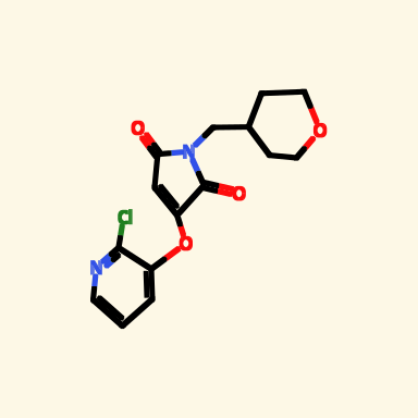 O=C1C=C(Oc2cccnc2Cl)C(=O)N1CC1CCOCC1